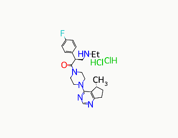 CCNC[C@@H](C(=O)N1CCN(c2ncnc3c2[C@H](C)CC3)CC1)c1ccc(F)cc1.Cl.Cl